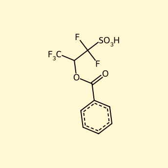 O=C(OC(C(F)(F)F)C(F)(F)S(=O)(=O)O)c1ccccc1